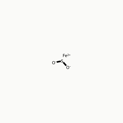 [Fe+2].[O-]S[O-]